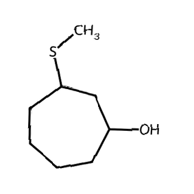 CSC1CCCCC(O)C1